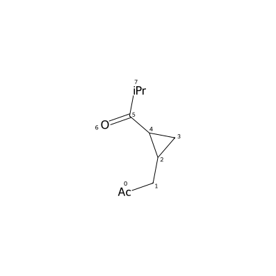 CC(=O)CC1CC1C(=O)C(C)C